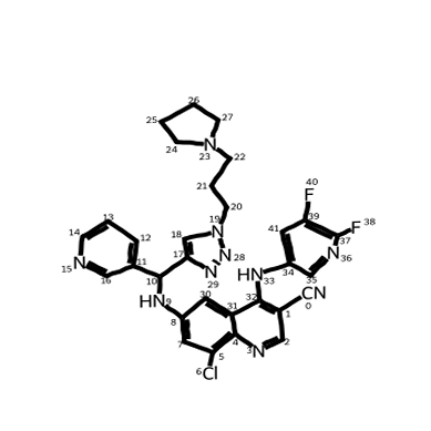 N#Cc1cnc2c(Cl)cc(NC(c3cccnc3)c3cn(CCCN4CCCC4)nn3)cc2c1Nc1cnc(F)c(F)c1